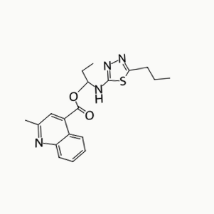 CCCc1nnc(NC(CC)OC(=O)c2cc(C)nc3ccccc23)s1